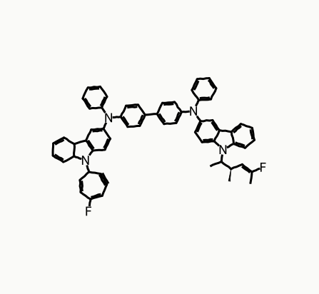 C/C(F)=C\[C@@H](C)C(C)n1c2ccccc2c2cc(N(c3ccccc3)c3ccc(-c4ccc(N(c5ccccc5)c5ccc6c(c5)C5C=CC=CC5N6C5C#CC=C(F)C=C5)cc4)cc3)ccc21